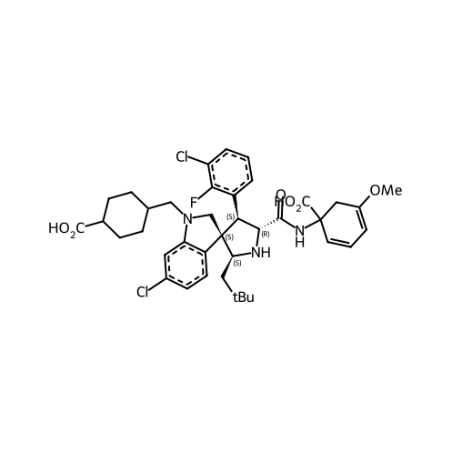 COC1=CC=CC(NC(=O)[C@@H]2N[C@@H](CC(C)(C)C)[C@@]3(CN(CC4CCC(C(=O)O)CC4)c4cc(Cl)ccc43)[C@H]2c2cccc(Cl)c2F)(C(=O)O)C1